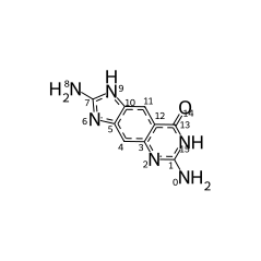 Nc1nc2cc3nc(N)[nH]c3cc2c(=O)[nH]1